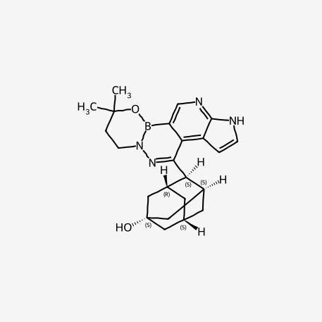 CC1(C)CCN2N=C([C@@H]3[C@@H]4C[C@@H]5C[C@H]3C[C@@](O)(C5)C4)c3c(cnc4[nH]ccc34)B2O1